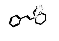 C=C[Si]1(C=Cc2ccccc2)CCCCO1